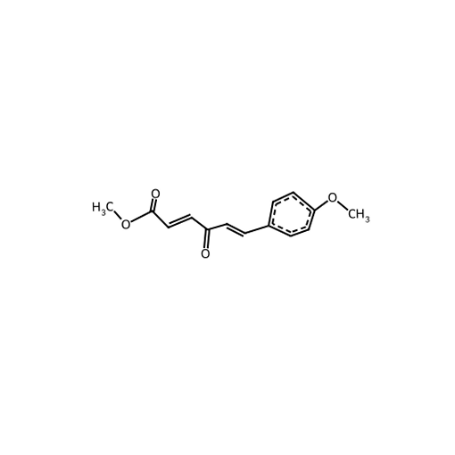 COC(=O)/C=C/C(=O)/C=C/c1ccc(OC)cc1